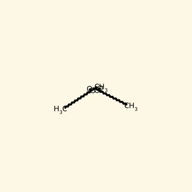 CCCCCCCCCCCCCCCCCC(=O)OCC(C)OC(=O)CCCCCCCCCCCCCCCCC